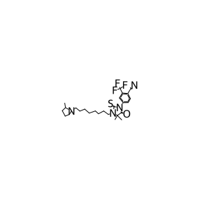 CC1CCCN1CCCCCCCCN1C(=S)N(c2ccc(C#N)c(C(F)(F)F)c2)C(=O)C1(C)C